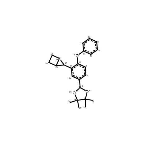 CC1(C)OB(c2ccc(Oc3ccccc3)c(C3B4CCC43)c2)OC1(C)C